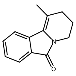 CC1=C2c3ccccc3C(=O)N2CCC1